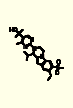 CCc1cc2cc3n(c2cc1S(C)(=O)=O)CCN(c1ncc(C(C)(C)O)c(C)n1)[C@@H]3C(C)C